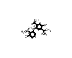 CC(C)c1cc(Nc2cccc(Cl)c2N(C)C)c(C(=O)O)cc1Br